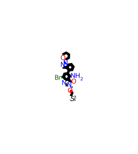 C[Si](C)(C)CCOCn1cnc2c(Br)cc(-c3cccc4c3cnn4C3CCCCO3)c(N)c2c1=O